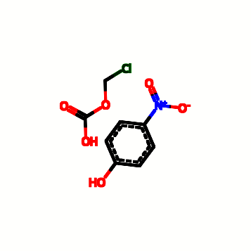 O=C(O)OCCl.O=[N+]([O-])c1ccc(O)cc1